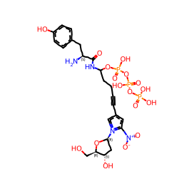 N[C@@H](Cc1ccc(O)cc1)C(=O)NC(CCC#Cc1cc([N+](=O)[O-])n([C@H]2C[C@H](O)[C@@H](CO)O2)c1)OP(=O)(O)OP(=O)(O)OP(=O)(O)O